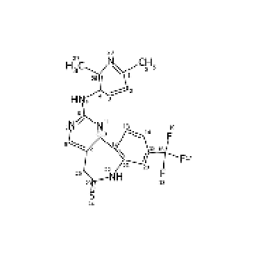 Cc1ccc(Nc2ncc3c(n2)-c2ccc(C(F)(F)F)cc2NC(=S)C3)c(C)n1